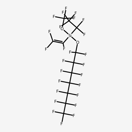 FC(F)=C(F)[Si](OC(F)(F)F)(OC(F)(F)C(F)(F)C(F)(F)C(F)(F)C(F)(F)C(F)(F)C(F)(F)F)C(F)(F)C(F)(F)F